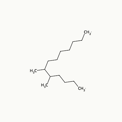 [CH2]CCCCCCC(C)C(C)CCC[CH2]